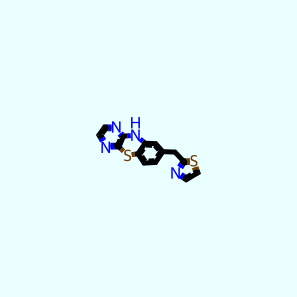 c1csc(Cc2ccc3c(c2)Nc2nccnc2S3)n1